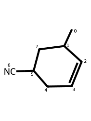 CC1C=CCC(C#N)C1